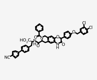 N#Cc1ccc(-c2ccc(C[C@H](NC(=O)C3Cc4cc5c(cc4CN3C(=O)c3ccccc3)OC(c3ccc(OCc4ccc(Cl)c(Cl)c4)cc3)C(=O)N5)C(=O)O)cc2)cc1